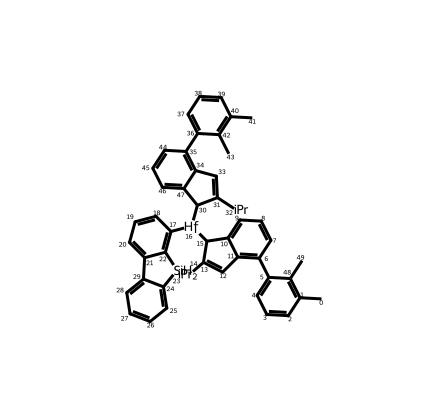 Cc1cccc(-c2cccc3c2C=C(C(C)C)[CH]3[Hf]([c]2cccc3c2[SiH2]c2ccccc2-3)[CH]2C(C(C)C)=Cc3c(-c4cccc(C)c4C)cccc32)c1C